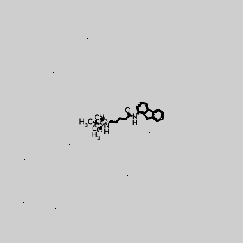 CC(C)(C)S(=O)(=O)NCCCCC(=O)Nc1cccc2c1Cc1ccccc1-2